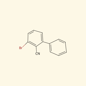 N#Cc1c(Br)cccc1-c1ccccc1